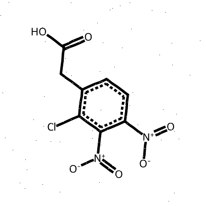 O=C(O)Cc1ccc([N+](=O)[O-])c([N+](=O)[O-])c1Cl